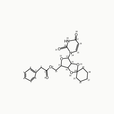 O=C(Cc1ccccc1)OCC1OC(n2ccc(=O)[nH]c2=O)C2OC3(CCCCC3)OC12